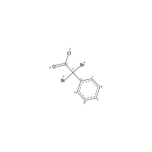 O=C(Cl)C(Br)(Br)c1ccccc1